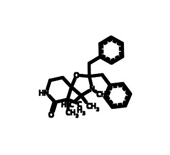 CN1C(Cc2ccccc2)(Cc2ccccc2)OC2(CCNC(=O)C2(C)C)C1(C)C